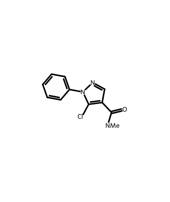 CNC(=O)c1cnn(-c2ccccc2)c1Cl